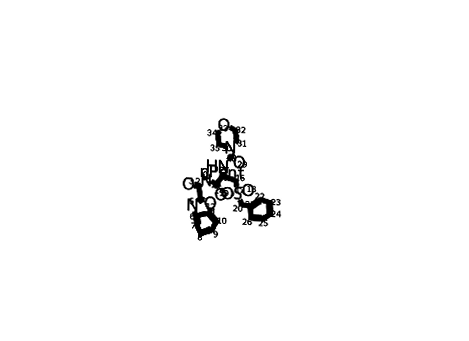 CCCCCN(C(=O)c1nc2ccccc2o1)C(=O)C(CS(=O)(=O)Cc1ccccc1)NC(=O)N1CCOCC1